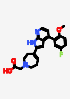 COc1ccc(F)cc1-c1ccnc2[nH]c(C3=CCCN(CC(=O)O)CC3)cc12